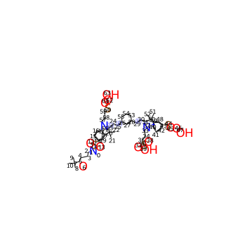 CN(CCCC(=O)C(C)(C)C)S(=O)(=O)c1ccc2c(c1)C(C)(C)/C(=C\C=C1C=C(/C=C/C3=[N+](CCCS(=O)(=O)O)c4ccc(SOOO)cc4C3(C)C)CCC\1)N2CCCSOOO